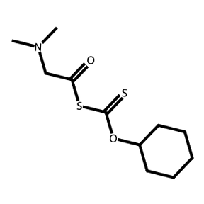 CN(C)CC(=O)SC(=S)OC1CCCCC1